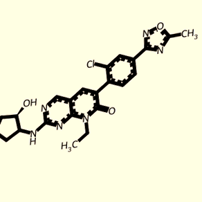 CCn1c(=O)c(-c2ccc(-c3noc(C)n3)cc2Cl)cc2cnc(NC3COC[C@H]3O)nc21